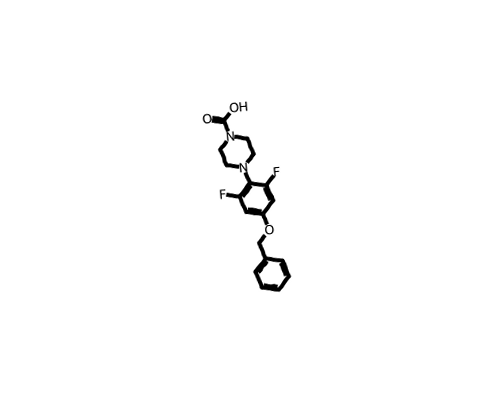 O=C(O)N1CCN(c2c(F)cc(OCc3ccccc3)cc2F)CC1